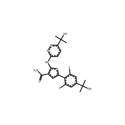 CC(C)(O)c1cc(F)c(-c2cc(C(N)=O)c(Nc3ccc(C(C)(C)O)nn3)s2)c(F)c1